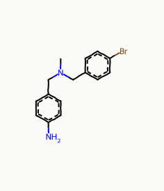 CN(Cc1ccc(N)cc1)Cc1ccc(Br)cc1